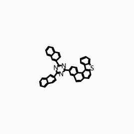 c1ccc2cc(-c3nc(-c4ccc5ccccc5c4)nc(-c4ccc5c(ccc6ccc7sc8ccccc8c7c65)c4)n3)ccc2c1